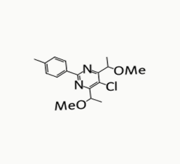 COC(C)c1nc(-c2ccc(C)cc2)nc(C(C)OC)c1Cl